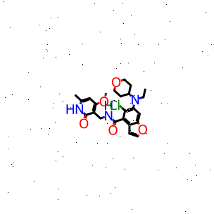 CCN(c1cc2occc2c(C(=O)NCc2c(OC)cc(C)[nH]c2=O)c1Cl)C1CCOCC1